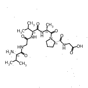 CC(C)[C@H](N)C(=O)NCC(=O)N[C@H](C(=O)N[C@@H](C)C(=O)N1CCC[C@H]1C(=O)NCC(=O)O)C(C)C